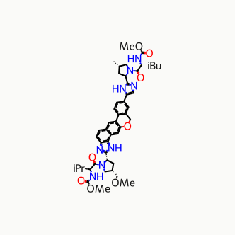 CC[C@H](C)[C@H](NC(=O)OC)C(=O)N1C[C@@H](C)CC1c1ncc(-c2ccc3c(c2)COc2cc4c(ccc5nc([C@@H]6C[C@H](COC)CN6C(=O)C(NC(=O)OC)C(C)C)[nH]c54)cc2-3)[nH]1